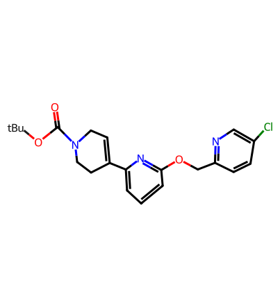 CC(C)(C)OC(=O)N1CC=C(c2cccc(OCc3ccc(Cl)cn3)n2)CC1